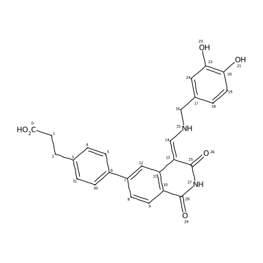 O=C(O)CCc1ccc(-c2ccc3c(c2)C(=CNCc2ccc(O)c(O)c2)C(=O)NC3=O)cc1